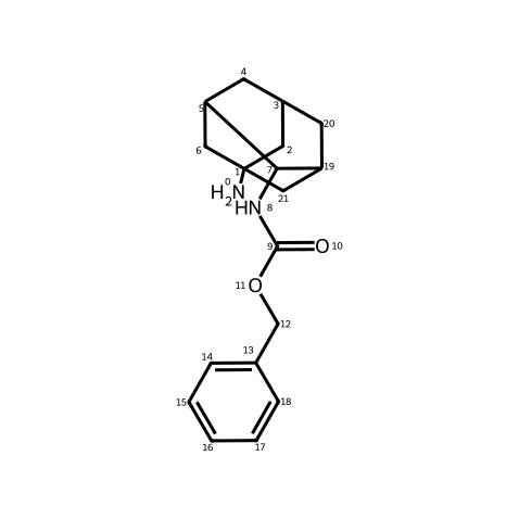 NC12CC3CC(C1)C(NC(=O)OCc1ccccc1)C(C3)C2